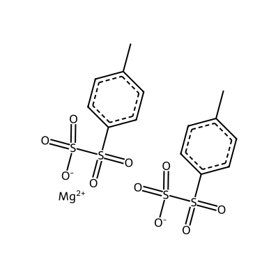 Cc1ccc(S(=O)(=O)S(=O)(=O)[O-])cc1.Cc1ccc(S(=O)(=O)S(=O)(=O)[O-])cc1.[Mg+2]